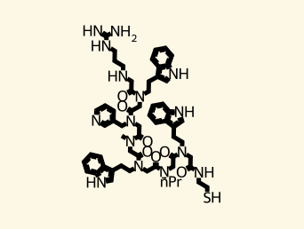 CCCN(CC(=O)N(CCc1c[nH]c2ccccc12)CC(=O)NCCS)C(=O)CN(CCc1c[nH]c2ccccc12)C(=O)CN(C)C(=O)CN(Cc1cccnc1)C(=O)CN(CCc1c[nH]c2ccccc12)C(=O)CNCCCNC(=N)N